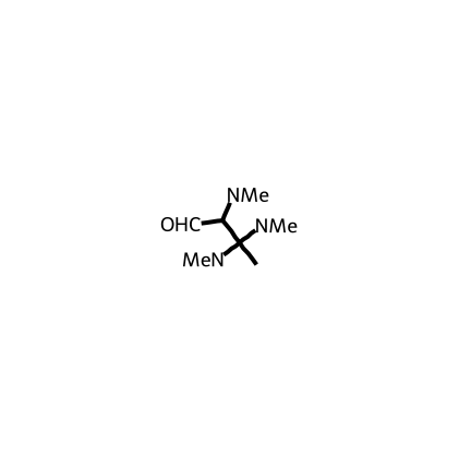 CNC(C=O)C(C)(NC)NC